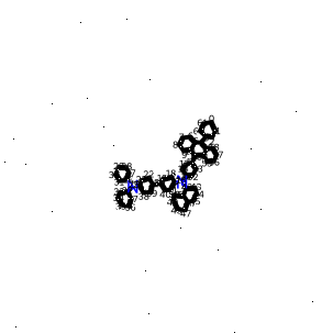 c1ccc(-c2c3ccccc3c(-c3ccc(N(c4ccc(-c5ccc(N(c6ccccc6)c6ccccc6)cc5)cc4)c4cccc5ccccc45)cc3)c3ccccc23)cc1